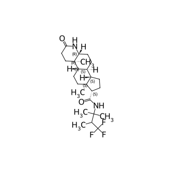 CC(C(F)(F)F)C(C)(C)NC(=O)[C@H]1CC[C@H]2[C@@H]3CC[C@H]4NC(=O)CC[C@]4(C)[C@H]3CC[C@]12C